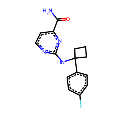 NC(=O)c1ccnc(NC2(c3ccc(F)cc3)CCC2)n1